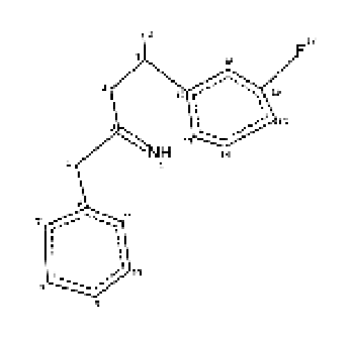 CC(CC(=N)Cc1ccccc1)c1cc[c]c(F)c1